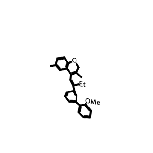 CC/C(=C\C1=C(C)COc2ccc(C)cc21)c1cccc(-c2ccccc2OC)c1